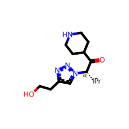 CC(C)[C@@H](C(=O)C1CCNCC1)n1cc(CCO)nn1